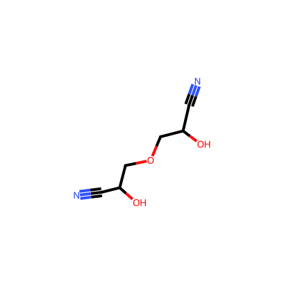 N#CC(O)COCC(O)C#N